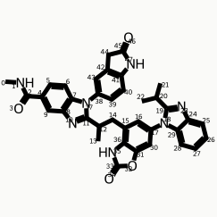 CNC(=O)c1ccc2c(c1)nc(C(C)Cc1cc(-n3c(C(C)C)nc4ccccc43)cc3oc(=O)[nH]c13)n2-c1ccc2c(c1)CC(=O)N2